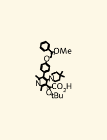 CO[C@@H](COc1ccc(-c2c(C)nc(C)c([C@H](OC(C)(C)C)C(=O)O)c2N2CCC(C)(C)CC2)cc1)c1ccccc1